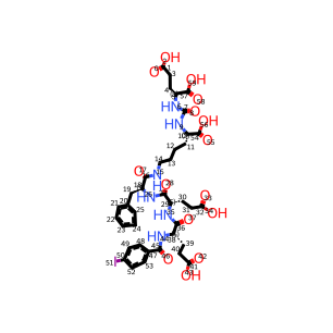 O=C(O)CC[C@H](NC(=O)N[C@@H](CCCCNC(=O)[C@H](Cc1ccccc1)NC(=O)[C@H](CCC(=O)O)NC(=O)[C@H](CCC(=O)O)NC(=O)c1ccc(I)cc1)C(=O)O)C(=O)O